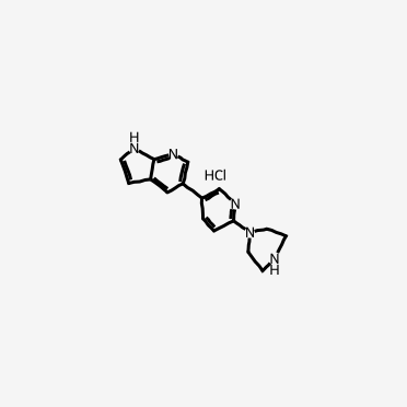 Cl.c1cc2cc(-c3ccc(N4CCNCC4)nc3)cnc2[nH]1